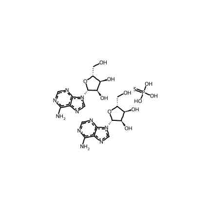 Nc1ncnc2c1ncn2[C@@H]1O[C@H](CO)[C@@H](O)[C@H]1O.Nc1ncnc2c1ncn2[C@@H]1O[C@H](CO)[C@@H](O)[C@H]1O.OP(O)(O)=S